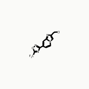 FC(F)(F)c1nc(-c2ccn3cc(CCl)nc3c2)no1